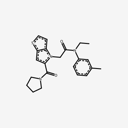 CCN(C(=O)Cn1c(C(=O)N2CCCC2)cc2sccc21)c1cccc(C)c1